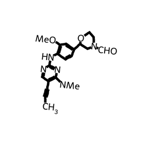 CC#Cc1cnc(Nc2ccc(C3CN(C=O)CCO3)cc2OC)nc1NC